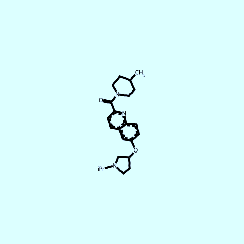 CC1CCN(C(=O)c2ccc3cc(OC4CCN(C(C)C)C4)ccc3n2)CC1